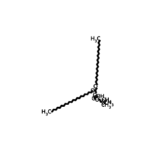 CCCCCCCCCCCCCCCCCCCCCCOCC(COP(=O)(O)OCC[N+](C)(C)C)OCCCCCCCCCCCCCCCCCCCCCC